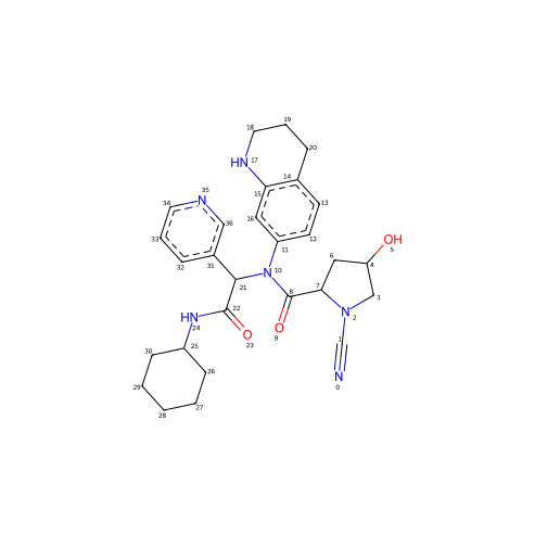 N#CN1CC(O)CC1C(=O)N(c1ccc2c(c1)NCCC2)C(C(=O)NC1CCCCC1)c1cccnc1